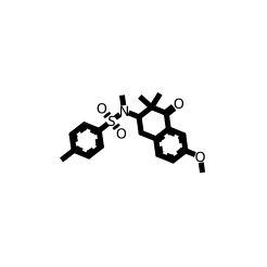 COc1ccc2c(c1)C(=O)C(C)(C)C(N(C)S(=O)(=O)c1ccc(C)cc1)C2